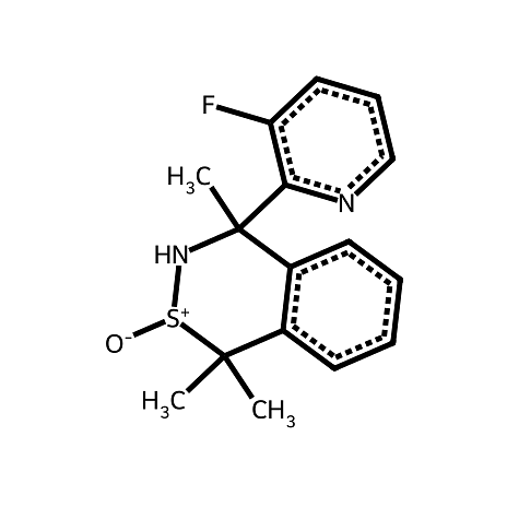 CC1(c2ncccc2F)N[S+]([O-])C(C)(C)c2ccccc21